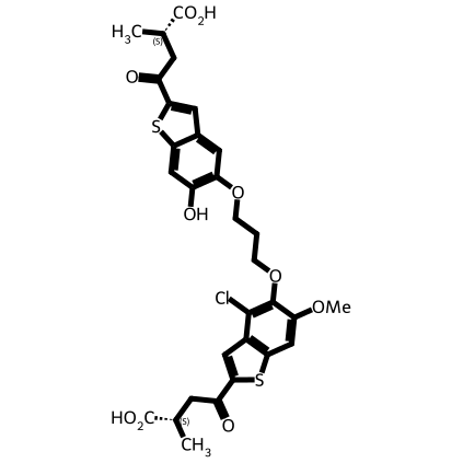 COc1cc2sc(C(=O)C[C@H](C)C(=O)O)cc2c(Cl)c1OCCCOc1cc2cc(C(=O)C[C@H](C)C(=O)O)sc2cc1O